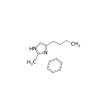 CCCCc1c[nH]c(C)n1.c1ccccc1